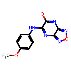 Oc1nc2nonc2nc1Nc1ccc(OC(F)(F)F)cc1